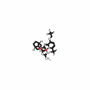 Cc1nnc(N2C[C@H]3CC[C@@H](C2)C3Nc2nc3c(OCC(F)(F)F)ccc(C(F)(F)F)n3n2)o1